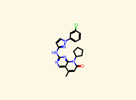 Cc1cc(=O)n(C2CCCC2)c2nc(Nc3ccn(-c4cccc(Cl)c4)n3)ncc12